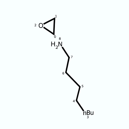 C1CO1.CCCCCCCCN